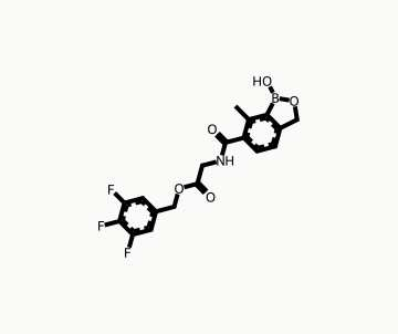 Cc1c(C(=O)NCC(=O)OCc2cc(F)c(F)c(F)c2)ccc2c1B(O)OC2